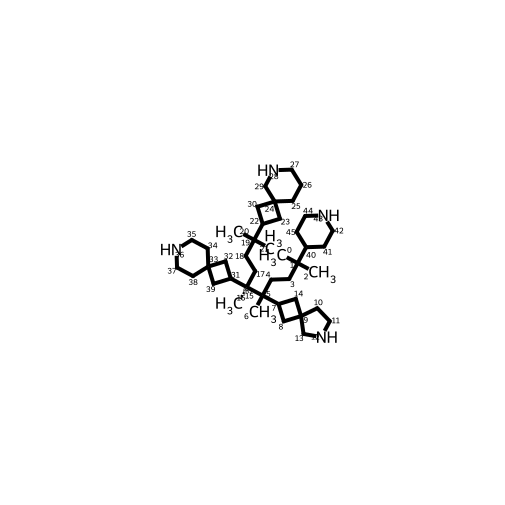 CC(C)(CCC(C)(C1CC2(CCNC2)C1)[C@](C)(CCC(C)(C)C1CC2(CCCNC2)C1)C1CC2(CCNCC2)C1)C1CCNCC1